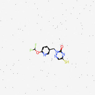 O=c1nc(S)cnn1Cc1ccc(OC(F)F)nc1